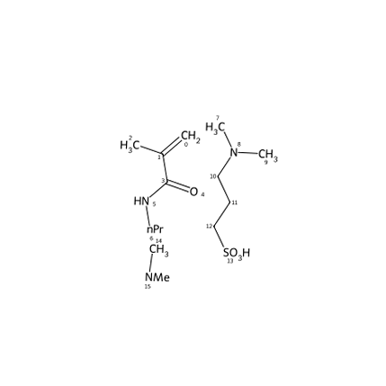 C=C(C)C(=O)NCCC.CN(C)CCCS(=O)(=O)O.CNC